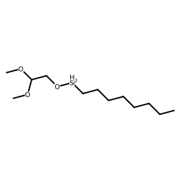 CCCCCCCC[SiH2]OCC(OC)OC